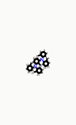 Cc1ccccc1N(c1ccccc1C)c1cccc(N(c2ccccc2C)c2ccccc2C)c1C